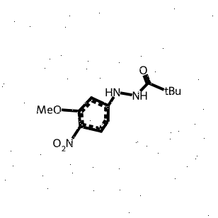 COc1cc(NNC(=O)C(C)(C)C)ccc1[N+](=O)[O-]